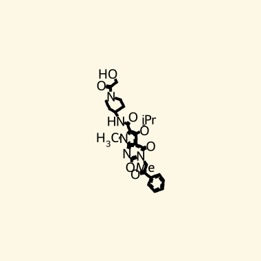 COc1nc2c(c(OC(C)C)c(C(=O)NC3CCN(C(=O)CO)CC3)n2C)c(=O)n1CC(=O)c1ccccc1